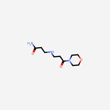 NC(=O)CCNCCC(=O)N1CCOCC1